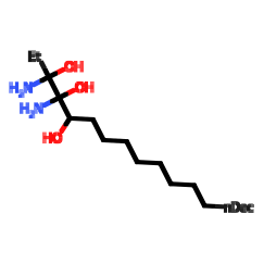 CCCCCCCCCCCCCCCCCCC(O)C(N)(O)C(N)(O)CC